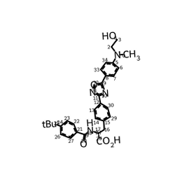 CN(CCO)c1ccc(-c2nc(-c3ccc(C[C@H](NC(=O)c4ccc(C(C)(C)C)cc4)C(=O)O)cc3)no2)cc1